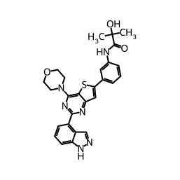 CC(C)(O)C(=O)Nc1cccc(-c2cc3nc(-c4cccc5[nH]ncc45)nc(N4CCOCC4)c3s2)c1